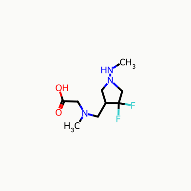 CNN1CC(CN(C)CC(=O)O)C(F)(F)C1